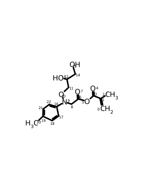 C=C(C)C(=O)OC(=O)CN(OCC(O)CO)c1ccc(C)cc1